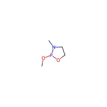 COP1OCCN1C